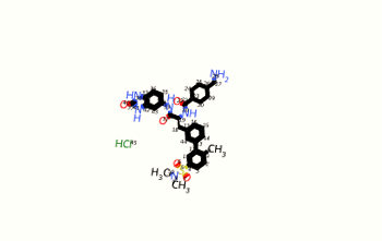 Cc1ccc(S(=O)(=O)N(C)C)cc1-c1cccc(C[C@H](NC(=O)C2CCC(CN)CC2)C(=O)Nc2ccc3[nH]c(=O)[nH]c3c2)c1.Cl